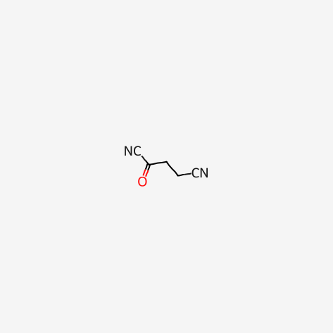 N#CCCC(=O)C#N